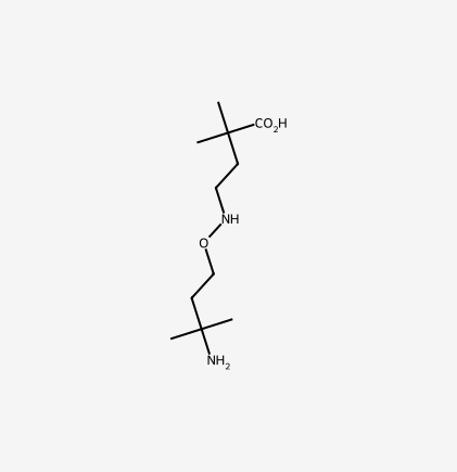 CC(C)(N)CCONCCC(C)(C)C(=O)O